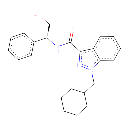 O=C(N[C@H](CO)c1ccccc1)c1nn(CC2CCCCC2)c2ccccc12